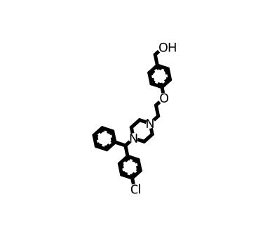 OCc1ccc(OCCN2CCN(C(c3ccccc3)c3ccc(Cl)cc3)CC2)cc1